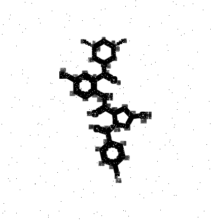 C[C@@H]1C[C@H](C)CN(C(=O)c2cc(Br)ccc2NC(=O)C2CC(O)CN2C(=O)c2ccc(F)cc2)C1